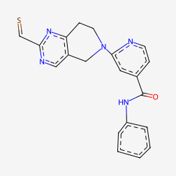 O=C(Nc1ccccc1)c1ccnc(N2CCc3nc(C=S)ncc3C2)c1